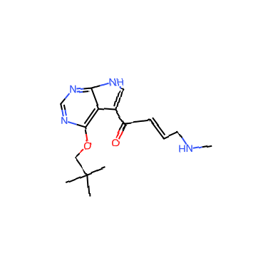 CNC/C=C/C(=O)c1c[nH]c2ncnc(OCC(C)(C)C)c12